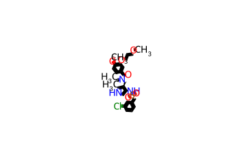 COCCCOc1cc(C(=O)N(C[C@@H]2CNC[C@H]2NS(=O)(=O)Cc2cccc(Cl)c2)C(C)C)ccc1OC